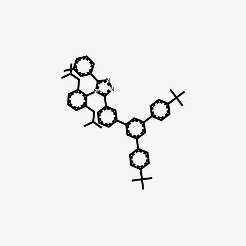 Cc1cccc(-c2nnc(-c3cccc(-c4cc(-c5ccc(C(C)(C)C)cc5)cc(-c5ccc(C(C)(C)C)cc5)c4)c3)n2-c2c(CC(C)C)cccc2CC(C)C)c1